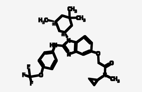 C[C@H]1C[C@@H](n2c(Nc3ccc(OC(F)(F)F)cc3)nc3cc(OCC(=O)N(C)C4CC4)ccc32)CC(C)(C)C1